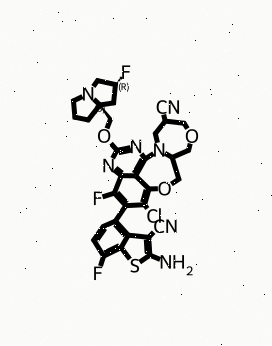 N#Cc1c(N)sc2c(F)ccc(-c3c(Cl)c4c5c(nc(OC[C@@]67CCCN6C[C@H](F)C7)nc5c3F)N3CC(C#N)COCC3CO4)c12